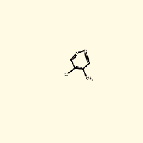 C[CH]c1cnncc1C